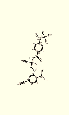 CC(C#N)(COc1cc(C#N)ccc1C(F)F)NC(=O)c1ccc([S+]([O-])C(F)(F)F)cc1